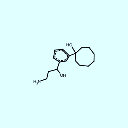 NCCC(O)c1cccc(C2(O)CCCCCCC2)c1